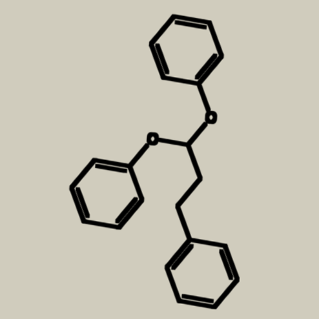 c1ccc(CCC(Oc2ccccc2)Oc2ccccc2)cc1